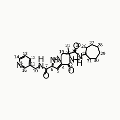 CN1C(=O)c2cc(C(=O)NCc3cccnc3)nn2CC1(C)C(=O)NC1CCCCCC1